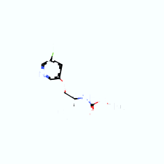 CC(C)(C)OC(=O)N[C@H](COc1cncc(F)c1)C(=O)O